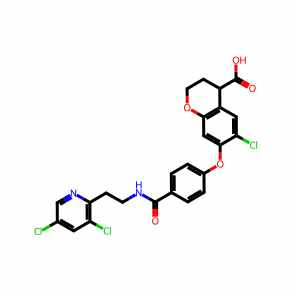 O=C(NCCc1ncc(Cl)cc1Cl)c1ccc(Oc2cc3c(cc2Cl)C(C(=O)O)CCO3)cc1